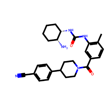 Cc1ccc(C(=O)N2CCC(c3ccc(C#N)cc3)CC2)cc1NC(=O)N[C@H]1CCCC[C@H]1N